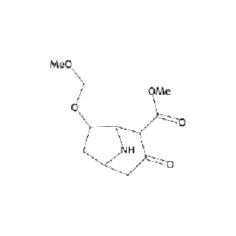 COCOC1CC2CC(=O)C(C(=O)OC)C1N2